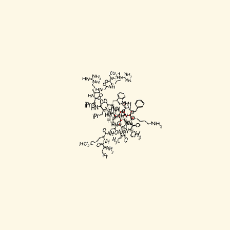 CC[C@H](C)[C@H](NC(=O)[C@H](Cc1ccccc1)NC(=O)[C@H](CCC(=O)O)NC(=O)[C@H](CCCCN)NC(=O)[C@H](C)NC(=O)[C@H](C)NC(=O)[C@H](CCC(N)=O)NC(=O)CNC(=O)[C@H](CCC(=O)O)NC(=O)[C@@H](N)CC(C)C)C(=O)N[C@@H](C)C(=O)N[C@@H](Cc1c[nH]c2ccccc12)C(=O)N[C@@H](CC(C)C)C(=O)N[C@H](C(=O)N[C@@H](CCCNC(=N)N)C(=O)NCC(=O)N[C@@H](CCCNC(=N)N)C(=O)NCC(=O)O)C(C)C